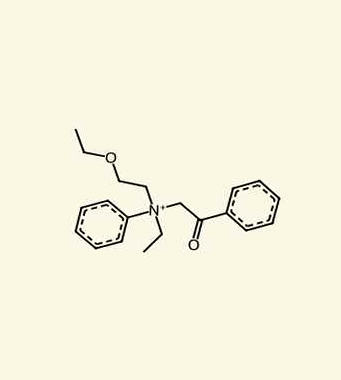 CCOCC[N+](CC)(CC(=O)c1ccccc1)c1ccccc1